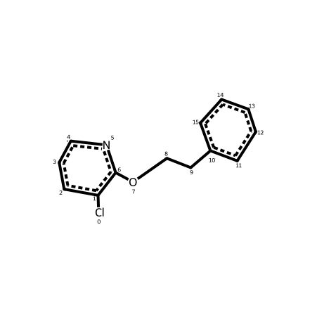 Clc1cc[c]nc1OCCc1ccccc1